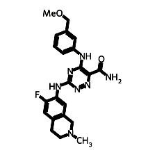 COCc1cccc(Nc2nc(Nc3cc4c(cc3F)CCN(C)C4)nnc2C(N)=O)c1